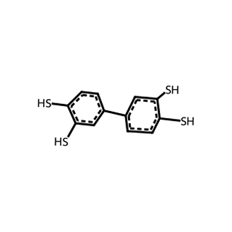 Sc1ccc(-c2ccc(S)c(S)c2)cc1S